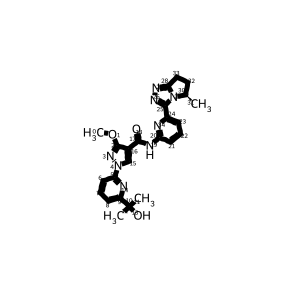 COc1nn(-c2cccc(C(C)(C)O)n2)cc1C(=O)Nc1cccc(-c2nnc3n2[C@@H](C)CC3)n1